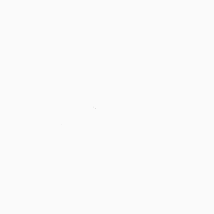 Cc1nc(C(=O)OCc2ccccc2)c(C)c(C)c1O